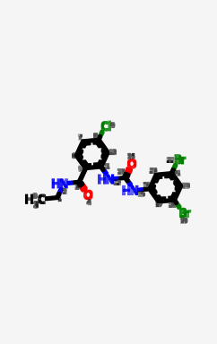 CCNC(=O)c1ccc(Cl)cc1NC(=O)Nc1cc(Br)cc(Br)c1